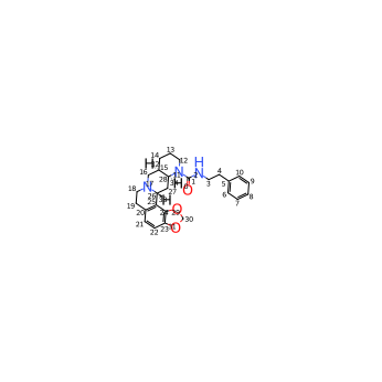 O=C(NCCc1ccccc1)N1CCC[C@@H]2CN3CCc4ccc5c(c4[C@H]3C[C@@H]21)OCO5